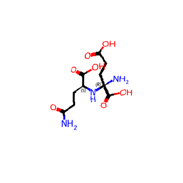 NC(=O)CC[C@H](N[C@](N)(CCC(=O)O)C(=O)O)C(=O)O